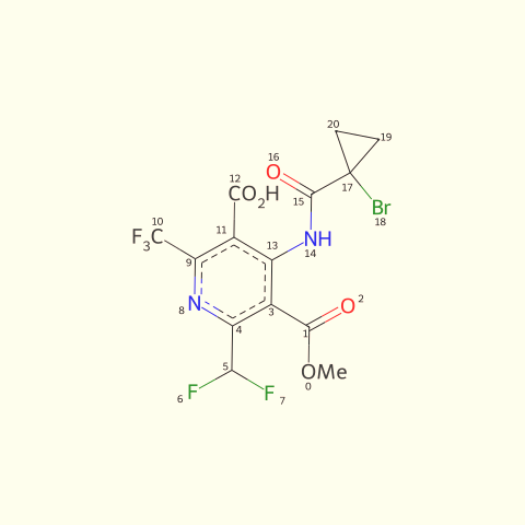 COC(=O)c1c(C(F)F)nc(C(F)(F)F)c(C(=O)O)c1NC(=O)C1(Br)CC1